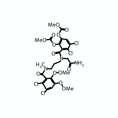 COOc1cc(Cl)c(Cl)c(C(=O)N(C)CCCN(CC(N)=O)C(=O)c2c(Cl)c(Cl)cc(OC(=O)OC)c2OC(=O)OC)c1OOC